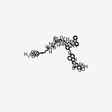 CCN(Cc1cc(NC(=O)[C@H](C)NC(=O)[C@@H](NC(=O)CNC(=O)CNC(=O)CCCC#Cc2cnc(S(C)(=O)=O)nc2)C(C)C)ccc1COc1ccc2nc3c(c4c2c1CCC4)Cn1c-3cc2c(c1=O)COC(=O)[C@]2(O)CC)C(=O)OC1c2ccccc2-c2ccccc21